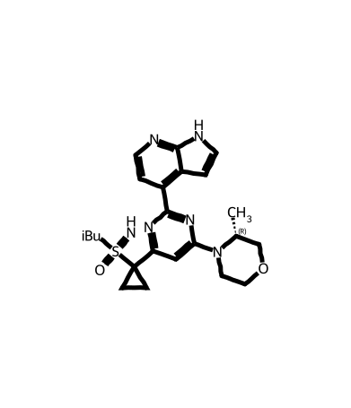 CCC(C)S(=N)(=O)C1(c2cc(N3CCOC[C@H]3C)nc(-c3ccnc4[nH]ccc34)n2)CC1